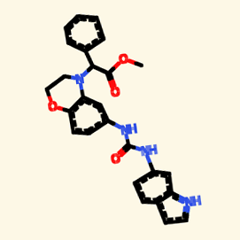 COC(=O)C(c1ccccc1)N1CCOc2ccc(NC(=O)Nc3ccc4cc[nH]c4c3)cc21